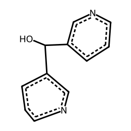 OC(c1cccnc1)c1cccnc1